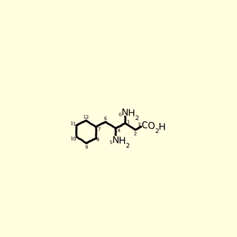 NC(CC(=O)O)C(N)CC1CCCCC1